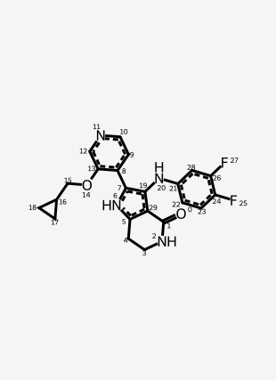 O=C1NCCc2[nH]c(-c3ccncc3OCC3CC3)c(Nc3ccc(F)c(F)c3)c21